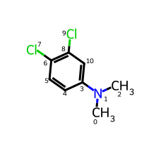 CN(C)c1ccc(Cl)c(Cl)c1